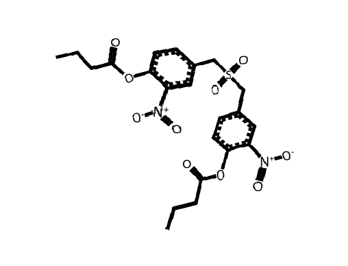 CCCC(=O)Oc1ccc(CS(=O)(=O)Cc2ccc(OC(=O)CCC)c([N+](=O)[O-])c2)cc1[N+](=O)[O-]